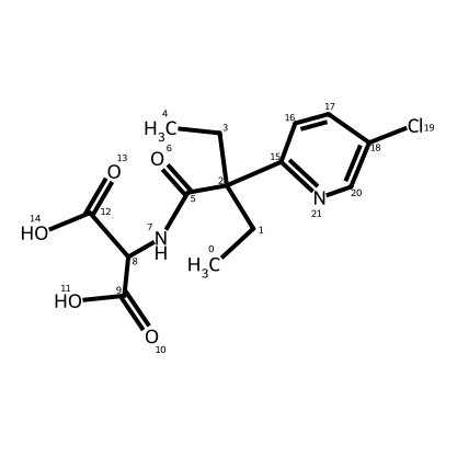 CCC(CC)(C(=O)NC(C(=O)O)C(=O)O)c1ccc(Cl)cn1